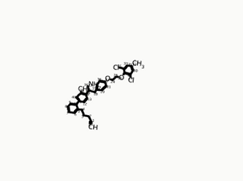 C#CCCCc1ccccc1-c1ccc(C(CN)Cc2ccc(OCCOc3c(Cl)cc(C)cc3Cl)cc2)c(C)c1